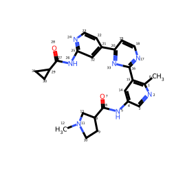 Cc1ncc(NC(=O)C2CCN(C)C2)cc1-c1nccc(-c2ccnc(NC(=O)C3CC3)c2)n1